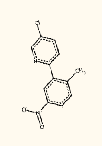 Cc1c[c]c([N+](=O)[O-])cc1-c1ccc(Cl)cn1